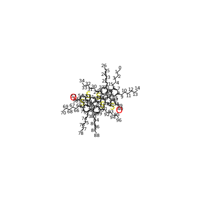 CCCCCCc1cc(CCCCCC)cc(C2(c3cc(CCCCCC)cc(CCCCCC)c3)c3cc(C=O)sc3-c3sc4c5c(sc4c32)-c2sc3cc(C=O)sc3c2C5(c2cc(CCCCCC)cc(CCCCCC)c2)c2cc(CCCCCC)cc(CCCCCC)c2)c1